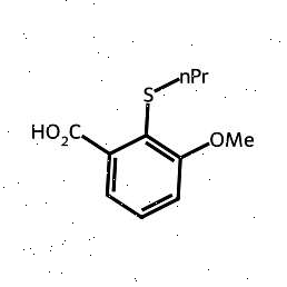 CCCSc1c(OC)cccc1C(=O)O